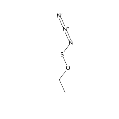 CCOSN=[N+]=[N-]